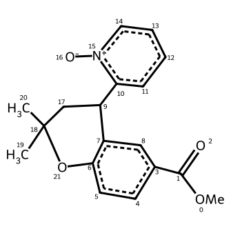 COC(=O)c1ccc2c(c1)C(c1cccc[n+]1[O-])CC(C)(C)O2